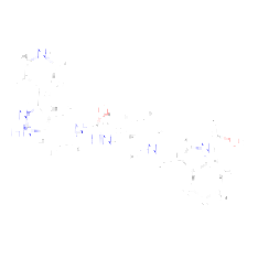 CC(=O)n1cc(CN2CCC[C@@H](NC(=O)N3CCc4[nH]nc(-c5ccncc5)c4C3)C2)c2ccccc21